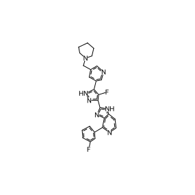 Fc1cccc(-c2nccc3[nH]c(-c4n[nH]c(-c5cncc(CN6CCCCC6)c5)c4F)nc23)c1